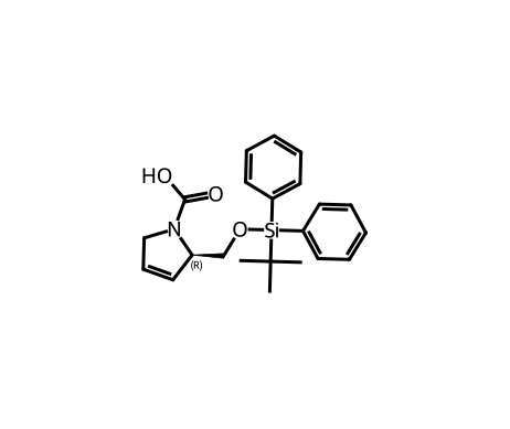 CC(C)(C)[Si](OC[C@H]1C=CCN1C(=O)O)(c1ccccc1)c1ccccc1